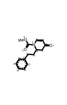 COC(=O)N1C=CC(=O)CC1CCc1ccccc1